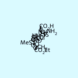 CCOC(=O)OC(C)OC(=O)C1=C(SC)CS[C@H]2C(NC(=O)C(=NOCC(=O)O)c3nc(N)sc3Cl)C(=O)N12